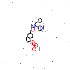 O=C(O)COc1cccc2c1CCC(CO/N=C(/CC1CCCC1)c1cccnc1)=C2